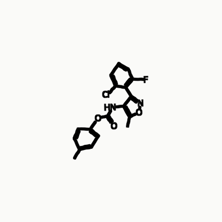 Cc1ccc(OC(=O)Nc2c(-c3c(F)cccc3Cl)noc2C)cc1